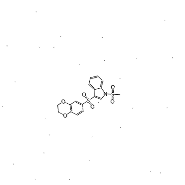 CS(=O)(=O)n1cc(S(=O)(=O)c2ccc3c(c2)OCCO3)c2ccccc21